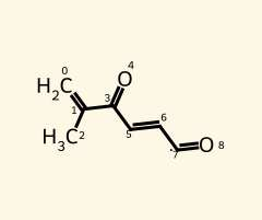 C=C(C)C(=O)C=C[C]=O